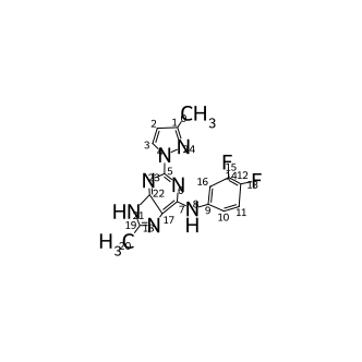 Cc1ccn(-c2nc(Nc3ccc(F)c(F)c3)c3nc(C)[nH]c3n2)n1